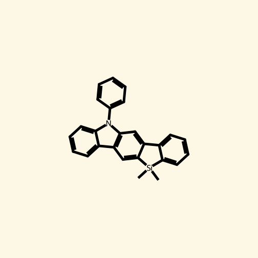 C[Si]1(C)c2ccccc2-c2cc3c(cc21)c1ccccc1n3-c1ccccc1